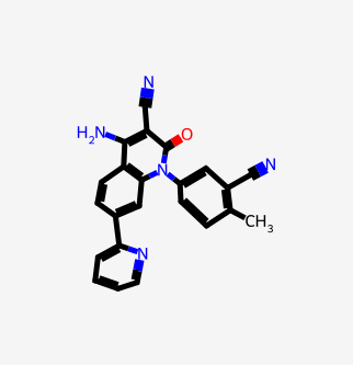 Cc1ccc(-n2c(=O)c(C#N)c(N)c3ccc(-c4ccccn4)cc32)cc1C#N